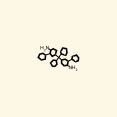 Nc1ccc(C(c2ccccc2)(c2ccccc2)c2ccc(N)c(-c3ccccc3)c2)cc1-c1ccccc1